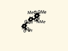 CNc1nc(-c2cccc(NC(=O)c3cccc(C(=O)OC(C)C)c3)c2)c2cc(OC)c(OC)cc2n1